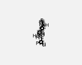 O=C(NCc1cc(F)cc(Cl)c1)C1(O)CCN(c2ccc3[nH]c(C(F)(F)F)nc3c2)C1=O